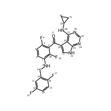 O=C(c1c(F)ccc(NSc2cc(F)ccc2F)c1F)c1c[nH]c2ncnc(NC3CC3)c12